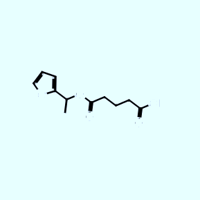 CC(OC(=O)CCCC(=O)O)c1ccco1